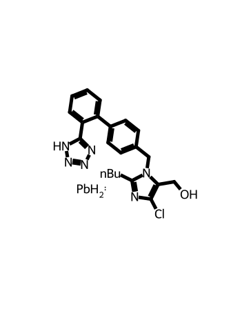 CCCCc1nc(Cl)c(CO)n1Cc1ccc(-c2ccccc2-c2nnn[nH]2)cc1.[PbH2]